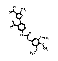 COc1cc(CC(=O)Nc2ccc(-c3cc(C(=O)O)c(C)o3)c([N+](=O)[O-])c2)cc(OC)c1OC